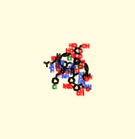 CN[C@H](CC(C)C)C(=O)N[C@H]1C(=O)N[C@@H](CC(N)=O)C(=O)N[C@H]2C(=O)N[C@H]3C(=O)N[C@H](C(=O)N[C@@H](C(=O)NOC)c4cc(O)cc(O)c4-c4cc3ccc4O)[C@H](O)c3ccc(c(Cl)c3)Oc3cc2cc(c3O[C@@H]2O[C@H](CO)[C@@H](O)[C@H](O)[C@H]2O[C@H]2C[C@](C)(NCc3cncc(NC(=O)/C=C/c4ccc(Cl)cc4)c3)[C@H](O)[C@H](C)O2)Oc2ccc(cc2Cl)[C@H]1O